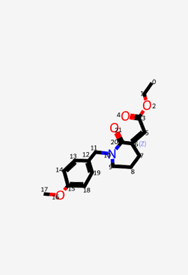 CCOC(=O)/C=C1/CCCN(Cc2ccc(OC)cc2)C1=O